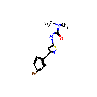 CN(C)C(=O)Nc1cc(-c2ccc(Br)cc2)ns1